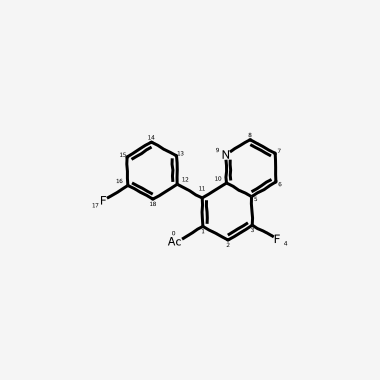 CC(=O)c1cc(F)c2cccnc2c1-c1cccc(F)c1